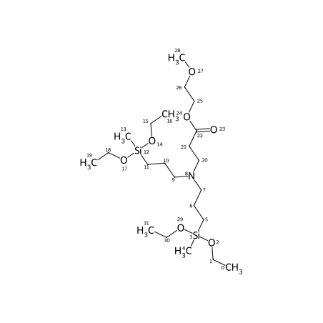 CCO[Si](C)(CCCN(CCC[Si](C)(OCC)OCC)CCC(=O)OCCOC)OCC